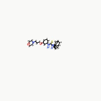 S=C(NC1CCCC(OCCCN2CCOCC2)C1)NC12CC3CC(CC(C3)C1)C2